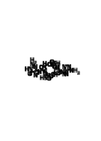 Nc1nc2c(ncn2[C@@H]2O[C@@H]3COP(=O)(S)O[C@H]4[C@H](F)[C@H](n5nnc6c(N)ncnc65)O[C@@H]4COP(=O)(S)O[C@H]2C3)c(=O)[nH]1